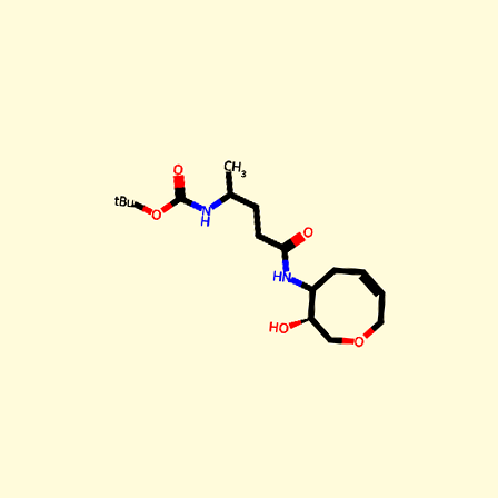 CC(CCC(=O)NC1C/C=C\COC[C@H]1O)NC(=O)OC(C)(C)C